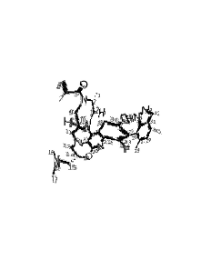 [2H]C1[C@@H](C)N(C(=O)C=C)C[C@H]2CN3C[C@@H](CN(C)C)Oc4nc5c(F)c(-c6c(C)ccc7cn[nH]c67)c(Cl)cc5c(c43)N12